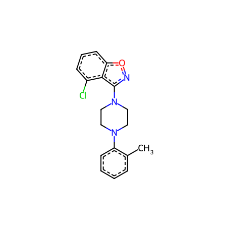 Cc1ccccc1N1CCN(c2noc3cccc(Cl)c23)CC1